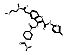 COCCN(C)C(=O)Cc1ccc2oc(C(=O)Nc3ccc(C)cn3)c(NC(=O)[C@H]3CC[C@H](C(=O)N(C)C)CC3)c2c1